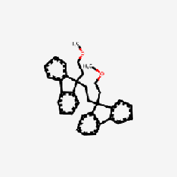 COCCC1(CCC2(CCOC)c3ccccc3-c3ccccc32)c2ccccc2-c2ccccc21